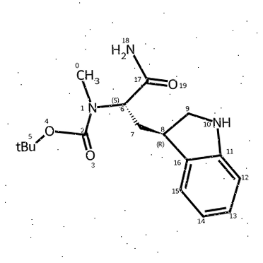 CN(C(=O)OC(C)(C)C)[C@@H](C[C@H]1CNc2ccccc21)C(N)=O